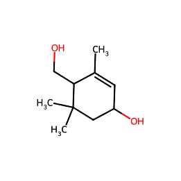 CC1=CC(O)CC(C)(C)C1CO